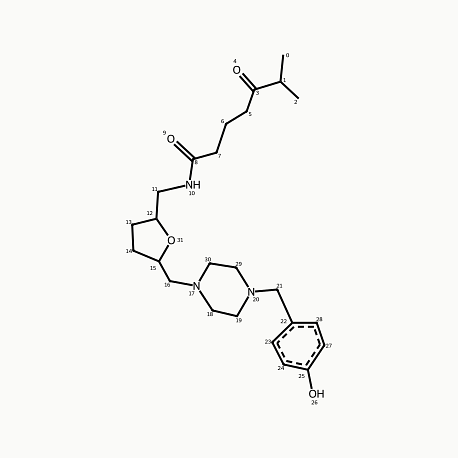 CC(C)C(=O)CCCC(=O)NCC1CCC(CN2CCN(Cc3ccc(O)cc3)CC2)O1